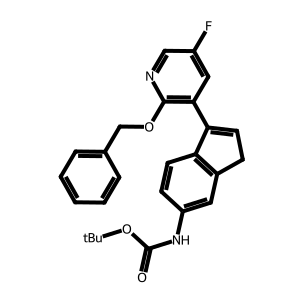 CC(C)(C)OC(=O)Nc1ccc2c(c1)CC=C2c1cc(F)cnc1OCc1ccccc1